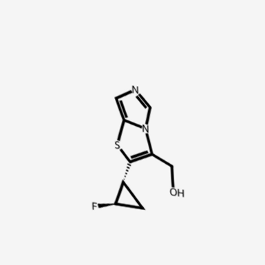 OCc1c([C@@H]2C[C@H]2F)sc2cncn12